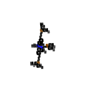 C=C(C)SCCCCc1ccc(CC2C(=C)N(CCCSC(=C)C)C(Cc3ccc(CCCCSC(=C)C)cc3)C(=C)N2CCCC)cc1